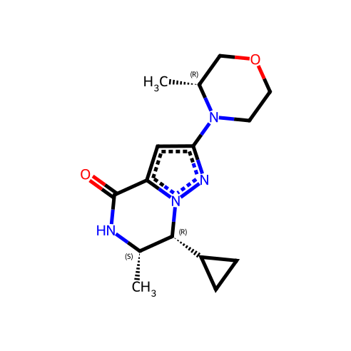 C[C@@H]1NC(=O)c2cc(N3CCOC[C@H]3C)nn2[C@@H]1C1CC1